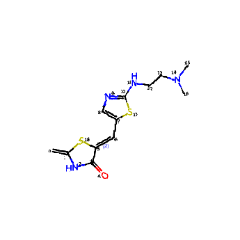 C=c1[nH]c(=O)/c(=C/c2cnc(NCCN(C)C)s2)s1